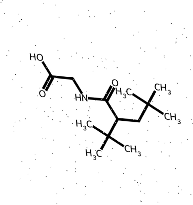 CC(C)(C)CC(C(=O)NCC(=O)O)C(C)(C)C